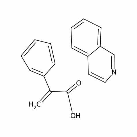 C=C(C(=O)O)c1ccccc1.c1ccc2cnccc2c1